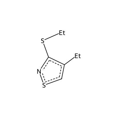 CCSc1nscc1CC